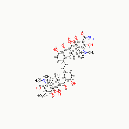 CN(C)[C@@H]1C(O)=C(C(N)=O)C(=O)[C@@]2(O)C(O)=C3C(=O)c4c(O)ccc(CCc5ccc(O)c6c5C[C@H]5C[C@H]7[C@H](N(C)C)C(O)=C(C(=O)O)C(=O)[C@@]7(O)C(O)=C5C6=O)c4C[C@H]3C[C@@H]12